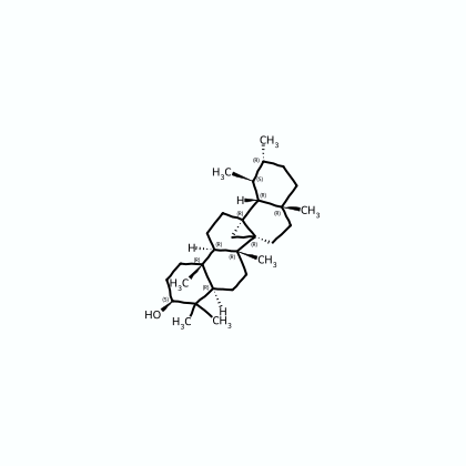 C[C@H]1[C@H](C)CC[C@]2(C)CC[C@]34C[C@]3(CC[C@@H]3[C@@]5(C)CC[C@H](O)C(C)(C)[C@@H]5CC[C@]34C)[C@H]12